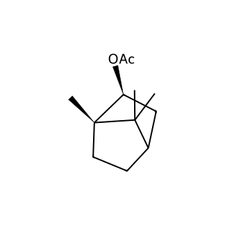 CC(=O)O[C@H]1CC2CC[C@@]1(C)C2(C)C